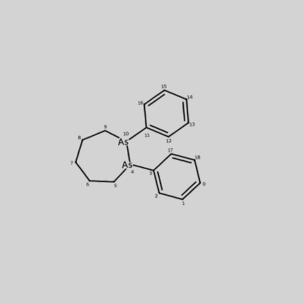 c1ccc([As]2CCCCC[As]2c2ccccc2)cc1